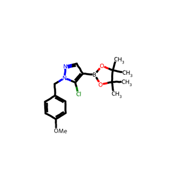 COc1ccc(Cn2ncc(B3OC(C)(C)C(C)(C)O3)c2Cl)cc1